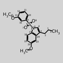 CCCc1cn(S(=O)(=O)c2cccc(OC)c2)c2ccc(OC)cc12